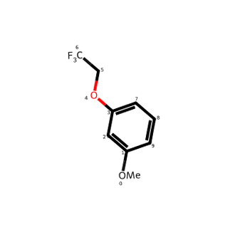 COc1[c]c(OCC(F)(F)F)ccc1